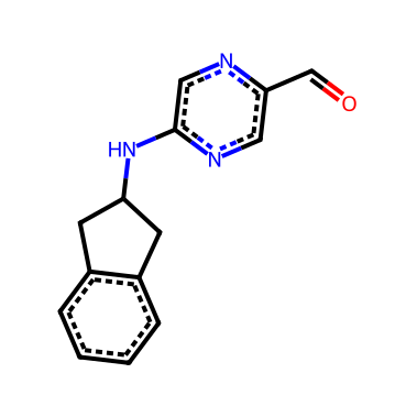 O=Cc1cnc(NC2Cc3ccccc3C2)cn1